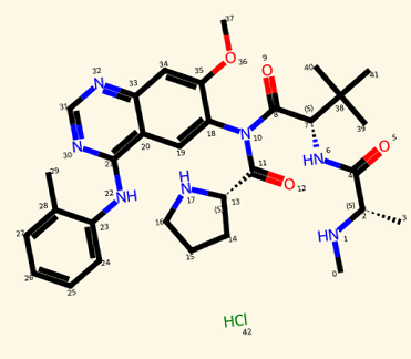 CN[C@@H](C)C(=O)N[C@H](C(=O)N(C(=O)[C@@H]1CCCN1)c1cc2c(Nc3ccccc3C)ncnc2cc1OC)C(C)(C)C.Cl